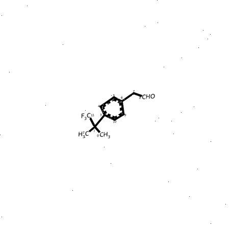 CC(C)(c1ccc(CC=O)cc1)C(F)(F)F